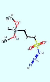 CCCO[Si](C)(CCCS(=O)(=O)N=[N+]=[N-])OCCC